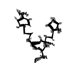 CCNC1=NC(NCCc2ccc(N)cc2)=NC(N)(CCc2cnc[nH]2)N1